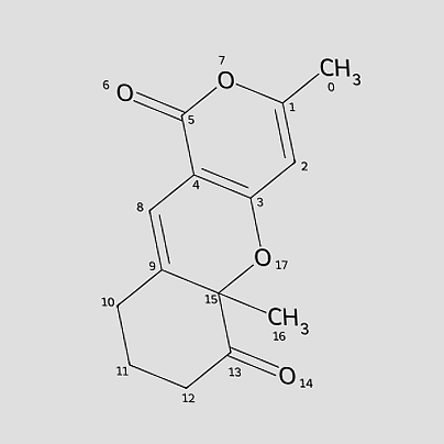 Cc1cc2c(c(=O)o1)C=C1CCCC(=O)C1(C)O2